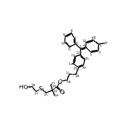 CC1C=CC(=C(c2ccccc2)c2ccc(CCCOC(=O)C(C)(C)CSCCO)cc2)C=C1